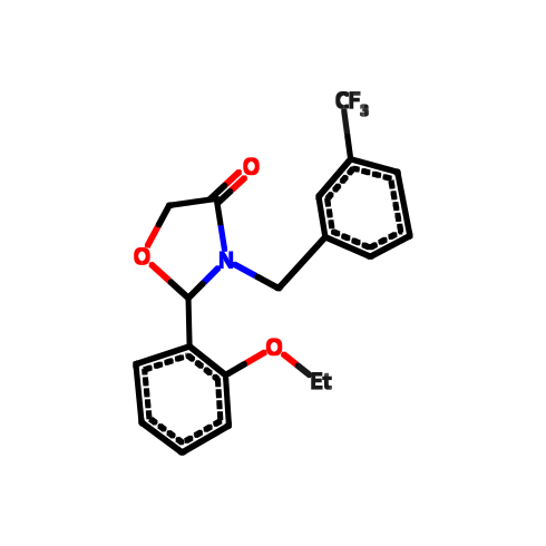 CCOc1ccccc1C1OCC(=O)N1Cc1cccc(C(F)(F)F)c1